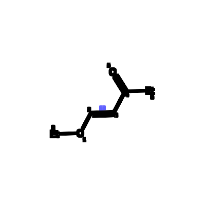 CCO/C=C/C(=O)CC